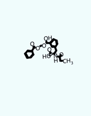 CCC(=O)N[C@H]1Cc2cccc(C(O)OCOC(=O)c3ccccc3)c2OB1O